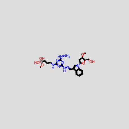 COC1C[C@H](n2cc(C=NNc3nc(NN)nc(NCCC[Si](O)(O)OC)n3)c3ccccc32)O[C@@H]1CO